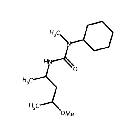 COC(C)CC(C)NC(=O)N(C)C1CCCCC1